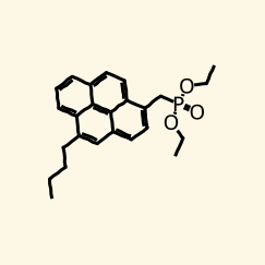 CCCCc1cc2ccc(CP(=O)(OCC)OCC)c3ccc4cccc1c4c23